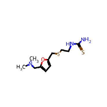 CN(C)Cc1ccc(CSCCNC(N)=S)o1